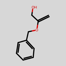 C=C(CO)OCc1ccccc1